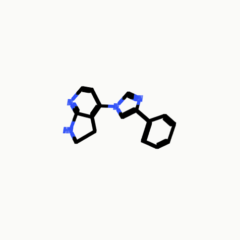 c1ccc(-c2cn(-c3ccnc4c3CCN4)cn2)cc1